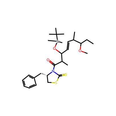 CCC(OC)C(C)/C=C/C(O[Si](C)(C)C(C)(C)C)C(C)C(=O)N1C(=S)SC[C@@H]1Cc1ccccc1